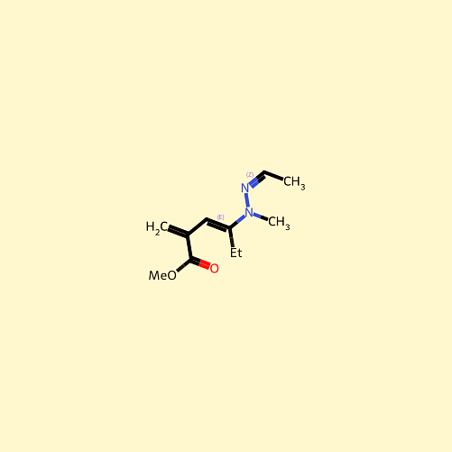 C=C(/C=C(\CC)N(C)/N=C\C)C(=O)OC